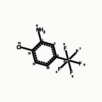 Nc1cc(S(F)(F)(F)(F)F)ccc1Cl